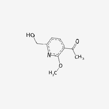 COc1nc(CO)ccc1C(C)=O